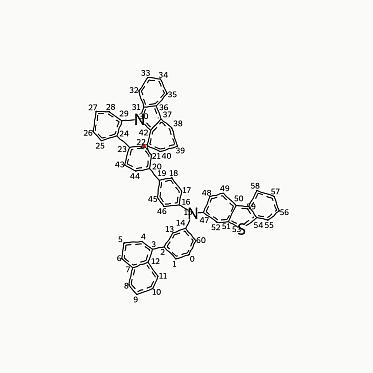 c1cc(-c2cccc3ccccc23)cc(N(c2ccc(-c3ccc(-c4ccccc4-n4c5ccccc5c5ccccc54)cc3)cc2)c2ccc3c(c2)sc2ccccc23)c1